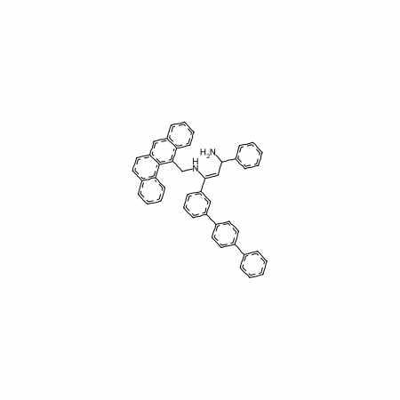 NC(/C=C(\NCc1c2ccccc2cc2ccc3ccccc3c12)c1cccc(-c2ccc(-c3ccccc3)cc2)c1)c1ccccc1